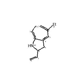 C=CC1CC(=C/C(=C)CC)/C(=C\C)N1